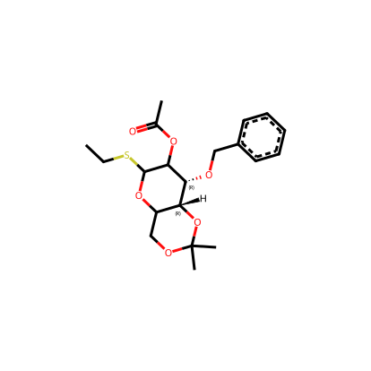 CCSC1OC2COC(C)(C)O[C@H]2[C@@H](OCc2ccccc2)C1OC(C)=O